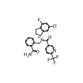 NC(=O)c1ccccc1CN(C(=O)c1ccc(C(F)(F)F)nc1)[C@@H]1CCc2c(F)cc(Cl)cc21